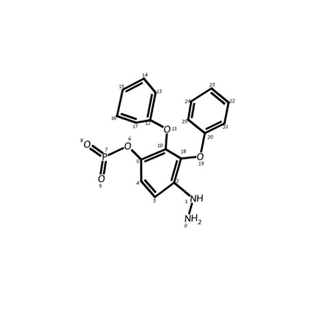 NNc1ccc(OP(=O)=O)c(Oc2ccccc2)c1Oc1ccccc1